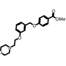 COC(=O)c1ccc(OCc2cccc(OCCN3CCOCC3)c2)cc1